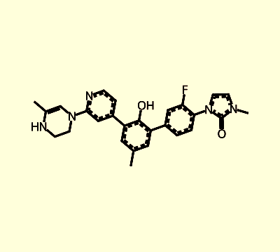 CC1=CN(c2cc(-c3cc(C)cc(-c4ccc(-n5ccn(C)c5=O)c(F)c4)c3O)ccn2)CCN1